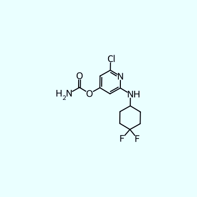 NC(=O)Oc1cc(Cl)nc(NC2CCC(F)(F)CC2)c1